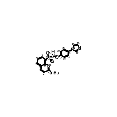 CCCCc1ccc2cccc(S(=O)(=O)NOc3ccc(-n4ccnc4)cc3)c2n1